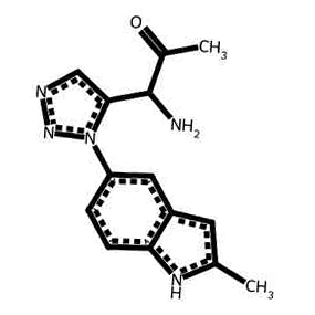 CC(=O)C(N)c1cnnn1-c1ccc2[nH]c(C)cc2c1